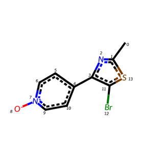 Cc1nc(-c2cc[n+]([O-])cc2)c(Br)s1